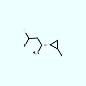 CC1C[C@H]1C(N)CC(F)F